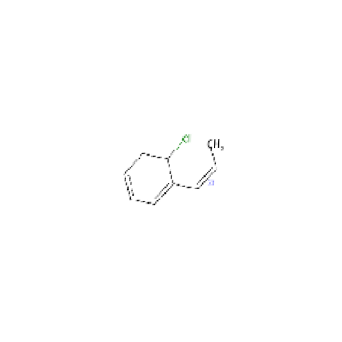 C/C=C\C1=CC=CCC1Cl